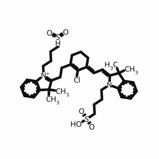 CC1(C)C(CCC2=C(Cl)/C(=C/C=C3\N(CCCCS(=O)(=O)O)c4ccccc4C3(C)C)CCC2)=[N+](CCCC[SH](=O)=O)c2ccccc21